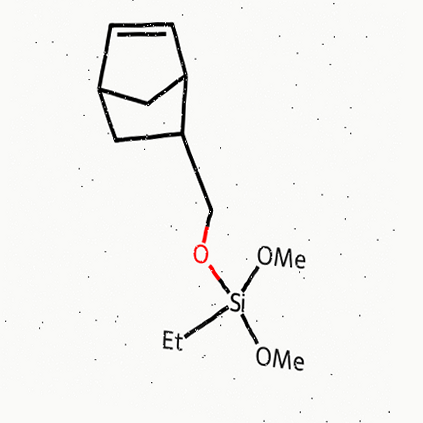 CC[Si](OC)(OC)OCC1CC2C=CC1C2